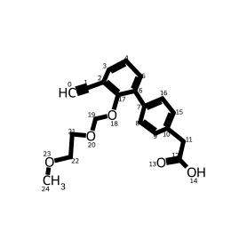 C#Cc1cccc(-c2ccc(CC(=O)O)cc2)c1OCOCCOC